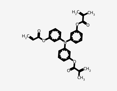 C=CC(=O)Oc1cccc(N(c2cccc(OC(=O)C(=C)C)c2)c2cccc(OC(=O)C(=C)C)c2)c1